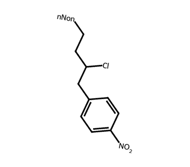 CCCCCCCCCCCC(Cl)Cc1ccc([N+](=O)[O-])cc1